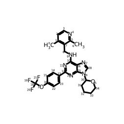 Cc1ccnc(C)c1CNc1nc(-c2ccc(OC(F)(F)F)cc2)nc2c1ncn2C1CCCCO1